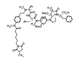 CC[C@H](C)[C@@H]([C@@H](CC(=O)N1CCC[C@H]1[C@H](OC)[C@@H](C)C(=O)N[C@@H](Cc1ccccc1)C(=O)O)OC)N(C)C(=O)[C@H](CC(C)C)NC(=O)[C@H](C(C)C)N(C)CCc1ccc(N(C)C(=O)CCCCCN2C(=O)CC(C)C2=O)cc1